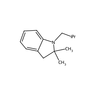 CC(C)CN1c2ccccc2CC1(C)C